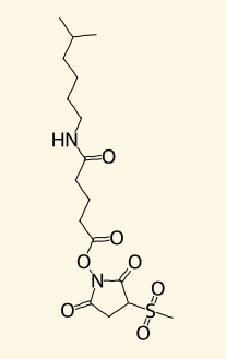 CC(C)CCCCNC(=O)CCCC(=O)ON1C(=O)CC(S(C)(=O)=O)C1=O